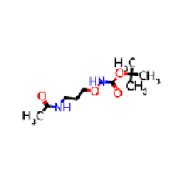 CC(=O)NCCCONC(=O)OC(C)(C)C